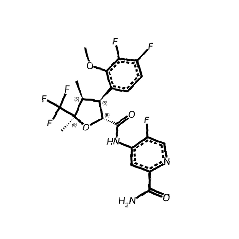 COc1c([C@H]2[C@H](C(=O)Nc3cc(C(N)=O)ncc3F)O[C@@](C)(C(F)(F)F)[C@H]2C)ccc(F)c1F